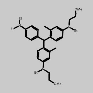 CCN(CC)c1ccc(C(c2ccc(N(CC)CCOC)cc2C)c2ccc(N(CC)CCOC)cc2C)cc1